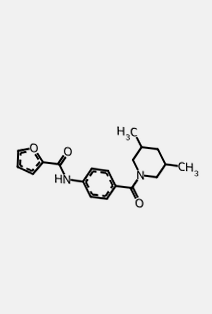 CC1CC(C)CN(C(=O)c2ccc(NC(=O)c3ccco3)cc2)C1